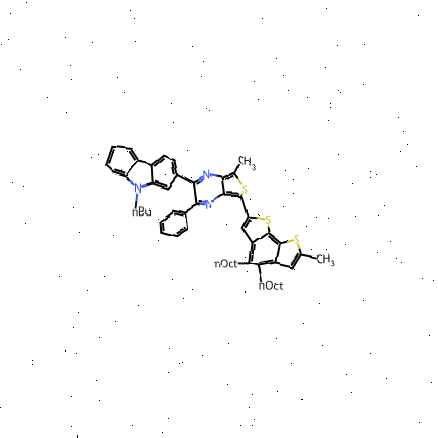 CCCCCCCCc1c(CCCCCCCC)c2cc(-c3sc(C)c4nc(-c5ccc6c7ccccc7n(CCCC)c6c5)c(-c5ccccc5)nc34)sc2c2sc(C)cc12